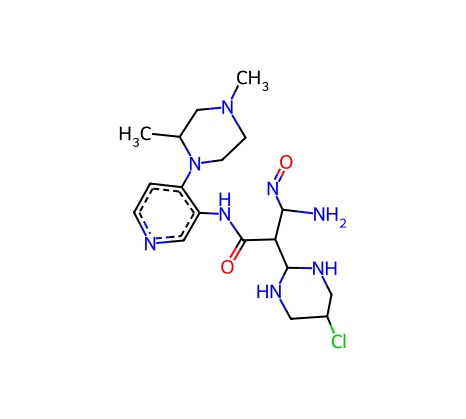 CC1CN(C)CCN1c1ccncc1NC(=O)C(C(N)N=O)C1NCC(Cl)CN1